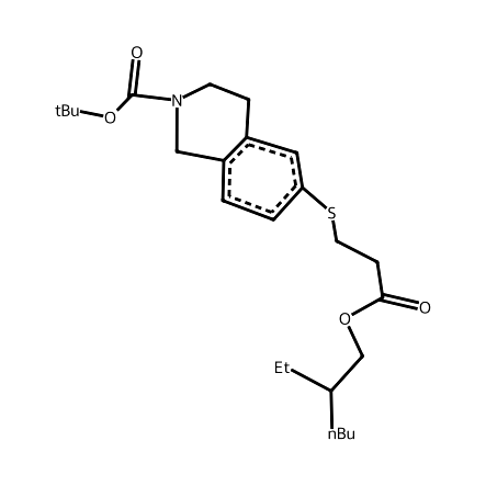 CCCCC(CC)COC(=O)CCSc1ccc2c(c1)CCN(C(=O)OC(C)(C)C)C2